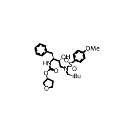 CC[C@H](C)CN(C[C@@H](O)[C@H](Cc1ccccc1)NC(=O)O[C@H]1CCOC1)S(=O)(=O)c1ccc(OC)cc1